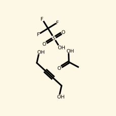 CC(=O)O.O=S(=O)(O)C(F)(F)F.OCC#CCO